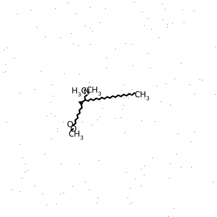 CCCCCCCCCCCCCCCCCCCC(CCN(C)C)C1CC1CCCCCCCC(=O)OCC